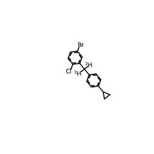 [2H]C([2H])(c1ccc(C2CC2)cc1)c1cc(Br)ccc1Cl